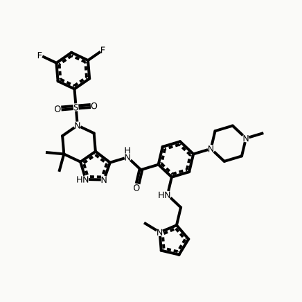 CN1CCN(c2ccc(C(=O)Nc3n[nH]c4c3CN(S(=O)(=O)c3cc(F)cc(F)c3)CC4(C)C)c(NCc3cccn3C)c2)CC1